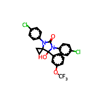 O=C1N(c2ccc(Cl)cc2)C2(CC2)C(O)(c2cccc(OC(F)(F)F)c2)N1c1ccc(Cl)cc1